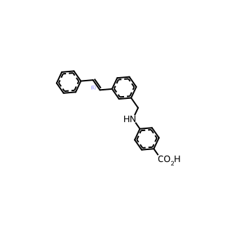 O=C(O)c1ccc(NCc2cccc(/C=C/c3ccccc3)c2)cc1